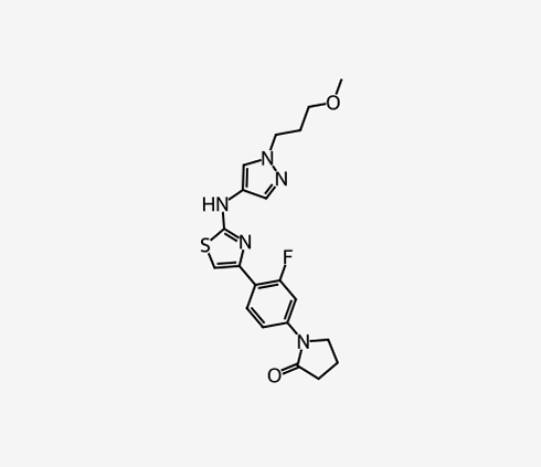 COCCCn1cc(Nc2nc(-c3ccc(N4CCCC4=O)cc3F)cs2)cn1